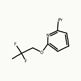 CC(C)c1cccc(OCC(C)(F)F)n1